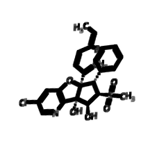 C=C(/C=C\C(Br)=C/C)[C@@]12Oc3cc(Cl)cnc3[C@]1(O)[C@H](O)[C@H](S(C)(=O)=O)[C@H]2c1ccccc1